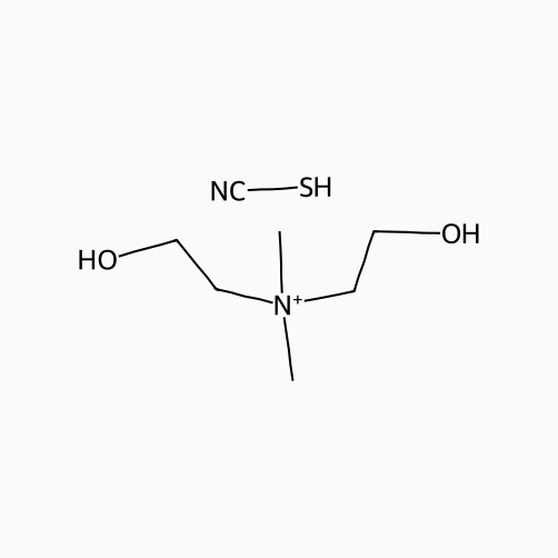 C[N+](C)(CCO)CCO.N#CS